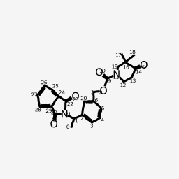 CC(c1cccc(COC(=O)N2CCC(=O)C(C)(C)C2)c1)N1C(=O)c2ccccc2C1=O